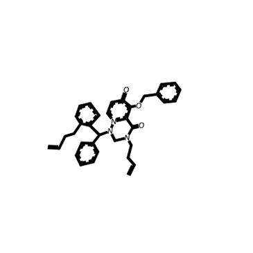 C=CCCc1ccccc1C(c1ccccc1)N1CN(CCC=C)C(=O)c2c(OCc3ccccc3)c(=O)ccn21